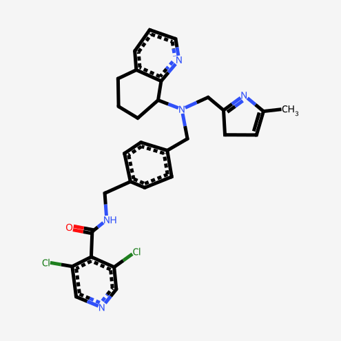 CC1=CCC(CN(Cc2ccc(CNC(=O)c3c(Cl)cncc3Cl)cc2)C2CCCc3cccnc32)=N1